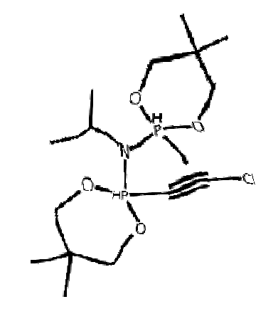 CC(C)N([PH]1(C)OCC(C)(C)CO1)[PH]1(C#CCl)OCC(C)(C)CO1